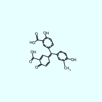 Cc1cc(/C(=C2\C=CC(=O)C(C(=O)O)=C2)c2ccc(O)c(C(=O)O)c2)ccc1O